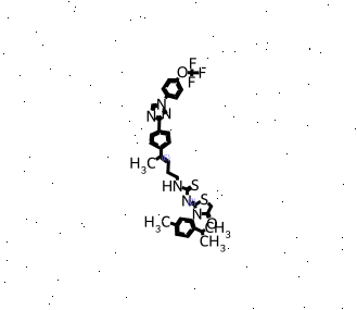 C/C(=C\CCNC(=S)/N=C1\SCC(=O)N1c1cc(C)ccc1C(C)C)c1ccc(-c2ncn(-c3ccc(OC(F)(F)F)cc3)n2)cc1